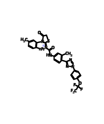 CCCc1ccc(C)cc1N1C(=O)CS/C1=N\C(=O)Nc1ccc(-c2ncn(-c3ccc(OC(F)(F)C(F)(F)F)cc3)n2)c(C)c1